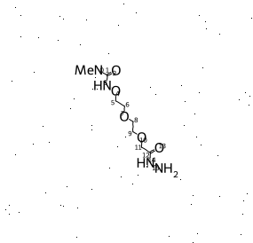 CNC(=O)NOCCOCCOCC(=O)NN